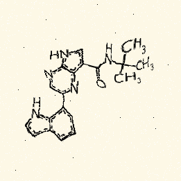 CC(C)(C)NC(=O)c1c[nH]c2ncc(-c3cccc4cc[nH]c34)nc12